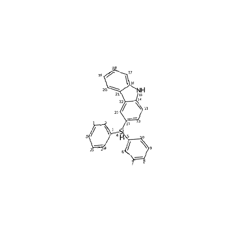 c1ccc([SiH](c2ccccc2)c2ccc3[nH]c4ccccc4c3c2)cc1